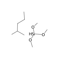 CCCC(C)C.CO[SiH](OC)OC